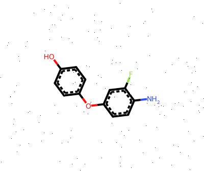 Nc1ccc(Oc2ccc(O)cc2)cc1F